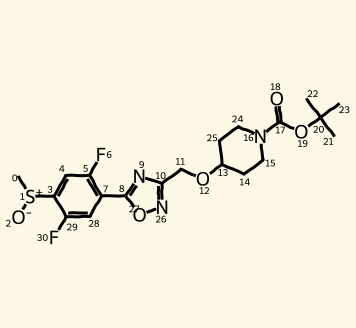 C[S+]([O-])c1cc(F)c(-c2nc(COC3CCN(C(=O)OC(C)(C)C)CC3)no2)cc1F